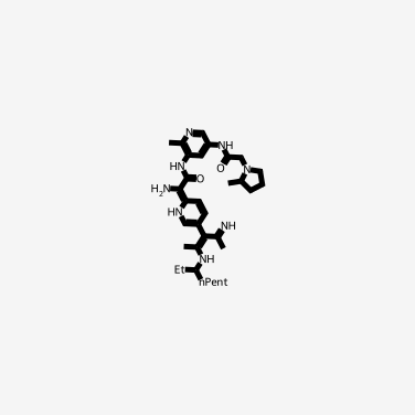 CCCCCC(CC)N/C(C)=C(\C(C)=N)C1=CN/C(=C(\N)C(=O)Nc2cc(NC(=O)CN3CCCC3C)cnc2C)C=C1